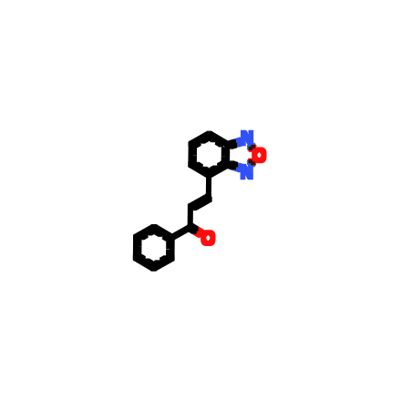 O=C(C=Cc1cccc2nonc12)c1ccccc1